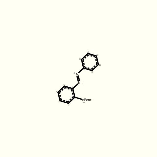 CCCC[CH]c1ccccc1/N=N/c1ccccc1